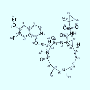 CCOc1cc2ccnc(O[C@@H]3C[C@H]4C(=O)N[C@]5(C(=O)NS(=O)(=O)C6(C)CC6)C[C@H]5/C=C\CC[C@H](C)C[C@@H](C)CC(=O)N4C3)c2cc1F